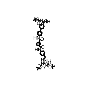 CN/C(=N/C(=O)OC(C)(C)C)N1CC=C(c2ccc(NC(=O)C3CC4(C(=O)Nc5ccc(CCN/C(=N\C(=O)OC(C)(C)C)NC(=O)OC(C)(C)C)cc5)CC3C4)cc2)CC1